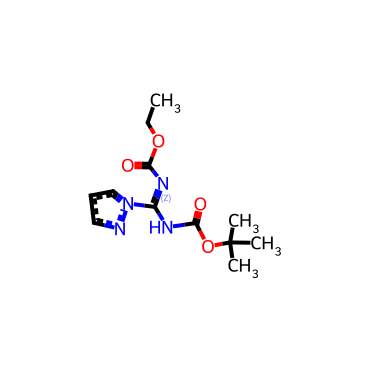 CCOC(=O)/N=C(/NC(=O)OC(C)(C)C)n1cccn1